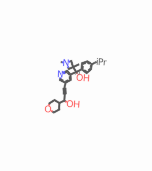 CC(C)c1ccc([C@](O)(c2cncc(C#CC(O)C3CCOCC3)c2)C2(C)CN(C)C2)cc1